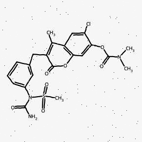 Cc1c(Cc2cccc(N(C(N)=O)S(C)(=O)=O)c2)c(=O)oc2cc(OC(=O)N(C)C)c(Cl)cc12